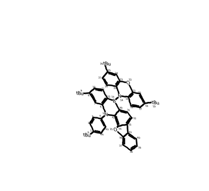 CC(C)(C)c1ccc(N2c3cc(C(C)(C)C)ccc3B(N3c4ccc(C(C)(C)C)cc4Oc4cc(C(C)(C)C)ccc43)c3ccc4c(oc5ccccc54)c32)cc1